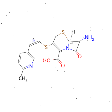 Cc1ccc(/C=C\SC2=C(C(=O)O)N3C(=O)C(N)[C@@H]3SC2)cn1